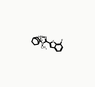 CN1C(c2cc3cccc(F)c3s2)=NN[C@@]12CC1CCC2CC1